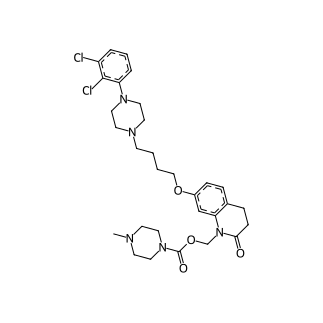 CN1CCN(C(=O)OCN2C(=O)CCc3ccc(OCCCCN4CCN(c5cccc(Cl)c5Cl)CC4)cc32)CC1